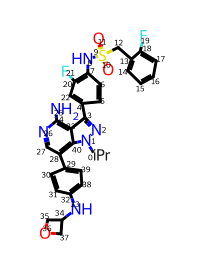 CC(C)n1nc(-c2ccc(NS(=O)(=O)Cc3ccccc3F)c(F)c2)c2c(N)ncc(-c3ccc(NC4COC4)cc3)c21